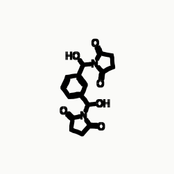 O=C1CCC(=O)N1C(O)c1cccc(C(O)N2C(=O)CCC2=O)c1